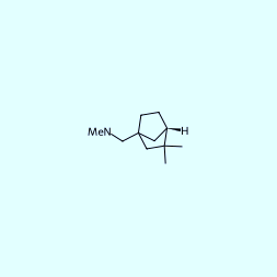 CNCC12CC[C@@H](C1)C(C)(C)C2